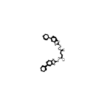 O=C(CCC(=O)OSc1nc2ccc(C3CCCCC3)cc2s1)OSc1nc2ccc(C3CCCCC3)cc2s1